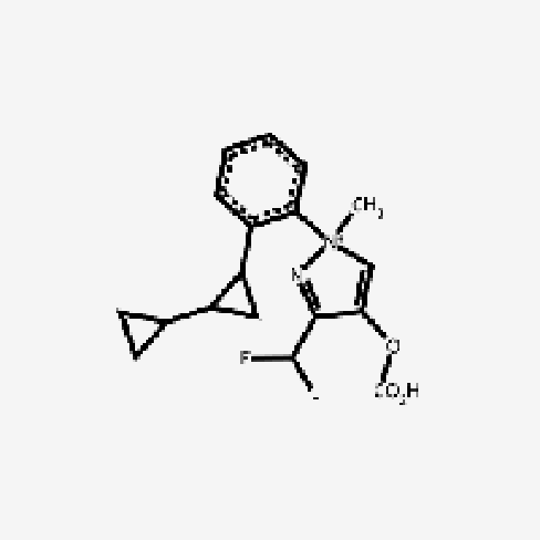 C[N+]1(c2ccccc2C2CC2C2CC2)C=C(OC(=O)O)C(C(F)F)=N1